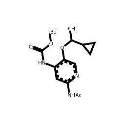 CC(=O)Nc1cc(NC(=O)OC(C)(C)C)c(OC(C)C2CC2)cn1